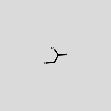 [CH2]CC(C[NH])C(C)=O